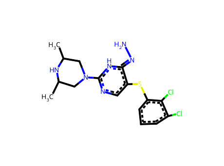 CC1CN(c2ncc(Sc3cccc(Cl)c3Cl)/c(=N/N)[nH]2)CC(C)N1